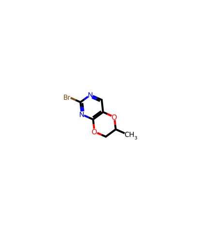 CC1COc2nc(Br)ncc2O1